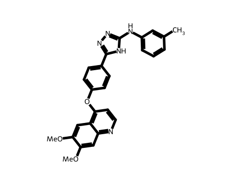 COc1cc2nccc(Oc3ccc(-c4nnc(Nc5cccc(C)c5)[nH]4)cc3)c2cc1OC